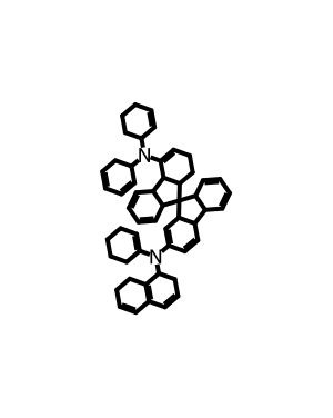 C1=CCC(N(C2=CCCC3C2C2C=CC=CC2C32C3C=CC=CC3C3C=CC(N(C4=CCCCC4)C4CC=CC5=C4CCC=C5)=CC32)C2C=CCCC2)C=C1